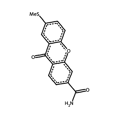 CSc1ccc2oc3cc(C(N)=O)ccc3c(=O)c2c1